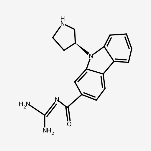 NC(N)=NC(=O)c1ccc2c3ccccc3n([C@H]3CCNC3)c2c1